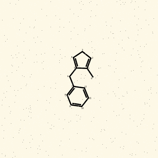 CC1=[C]CC=C1Cc1ccccc1